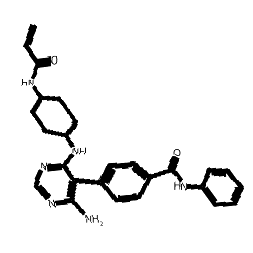 C=CC(=O)NC1CCC(Nc2ncnc(N)c2-c2ccc(C(=O)Nc3ccccc3)cc2)CC1